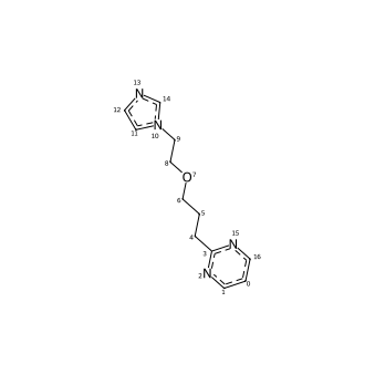 c1cnc(CCCOCCn2ccnc2)nc1